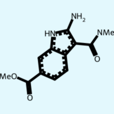 CNC(=O)c1c(N)[nH]c2cc(C(=O)OC)ccc12